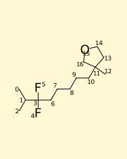 CC(C)C(F)(F)CCCCCC1(C)CCOC1